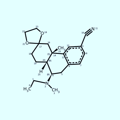 CCN(C)[C@@H]1Cc2ccc(C#N)cc2[C@@]2(C)CC3(CC[C@@H]12)OCCO3